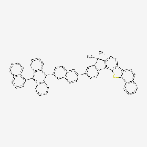 CC1(C)c2cc(-c3ccc4cc(-c5c6ccccc6c(-c6cccc7ccccc67)c6ccccc56)ccc4c3)ccc2-c2c1ccc1c2sc2c3ccccc3ccc12